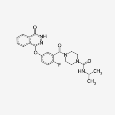 CC(C)NC(=O)N1CCN(C(=O)c2cc(Oc3n[nH]c(=O)c4ccccc34)ccc2F)CC1